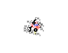 C=CCC1=C(C)C(OC(=O)C2C(C=C(C)C)C2(C)C)CC1=O.CCOP(=O)(NC(C)C)Oc1ccc(SC)c(C)c1